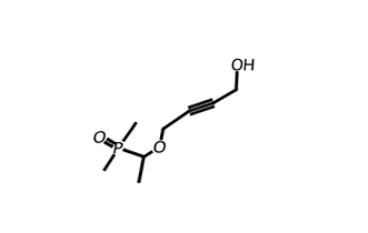 CC(OCC#CCO)P(C)(C)=O